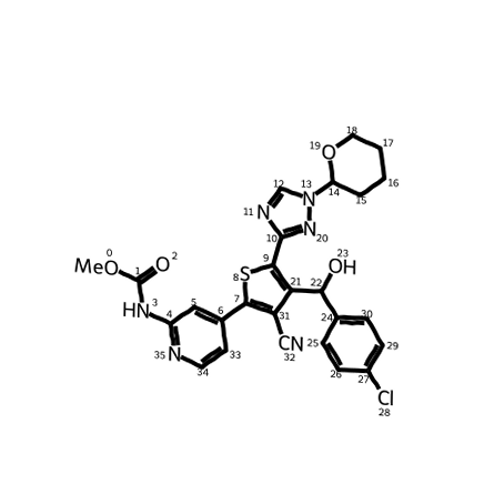 COC(=O)Nc1cc(-c2sc(-c3ncn(C4CCCCO4)n3)c(C(O)c3ccc(Cl)cc3)c2C#N)ccn1